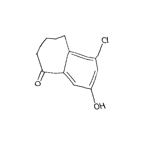 O=C1CCCc2c(Cl)cc(O)cc21